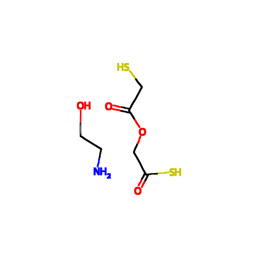 NCCO.O=C(S)COC(=O)CS